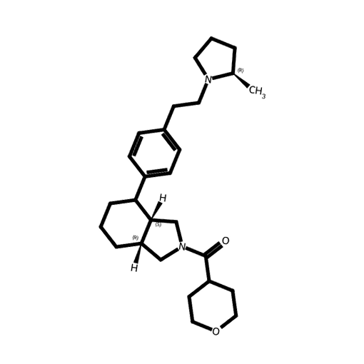 C[C@@H]1CCCN1CCc1ccc(C2CCC[C@H]3CN(C(=O)C4CCOCC4)C[C@@H]23)cc1